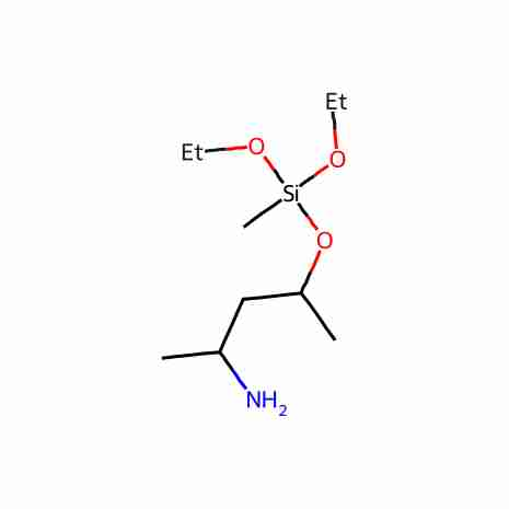 CCO[Si](C)(OCC)OC(C)CC(C)N